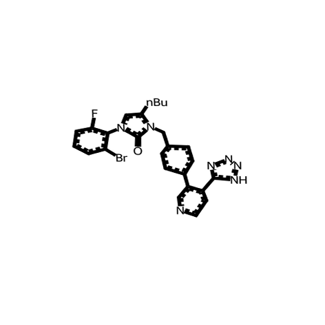 CCCCc1cn(-c2c(F)cccc2Br)c(=O)n1Cc1ccc(-c2cnccc2-c2nnn[nH]2)cc1